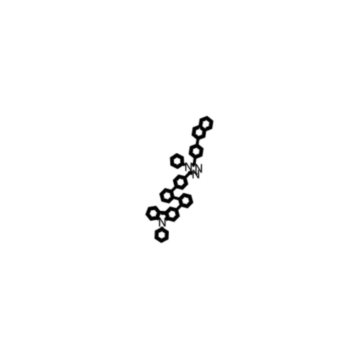 c1ccc(-n2c(-c3ccc(-c4ccc5ccccc5c4)cc3)nnc2-c2ccc(-c3ccccc3-c3ccccc3-c3ccc4c(c3)c3ccccc3n4-c3ccccc3)cc2)cc1